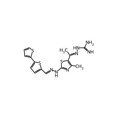 CC(=NNC(=N)N)c1sc(NN=Cc2ccc(-c3cccs3)s2)nc1C